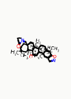 C[C@@H]1c2oncc2C[C@]2(C)C3=CC(=O)[C@@H]4[C@@H]5CC(C)(C)CC[C@]5(CN5CCC5=O)CC[C@@]4(C)[C@]3(C)CC[C@@H]12